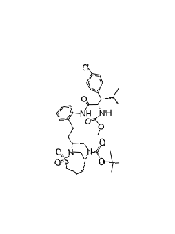 COC(=O)N[C@H](C(=O)Nc1ccccc1CCC1CN(C(=O)OC(C)(C)C)C2CCCS(=O)(=O)N1C2)[C@@H](c1ccc(Cl)cc1)C(C)C